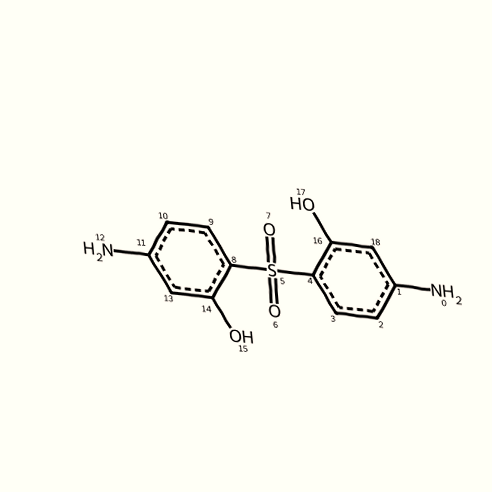 Nc1ccc(S(=O)(=O)c2ccc(N)cc2O)c(O)c1